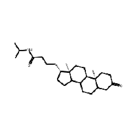 CC(C)NC(=O)CCC[C@H]1CCC2C3CCC4CC(=O)CC[C@]4(C)C3CC[C@@]21C